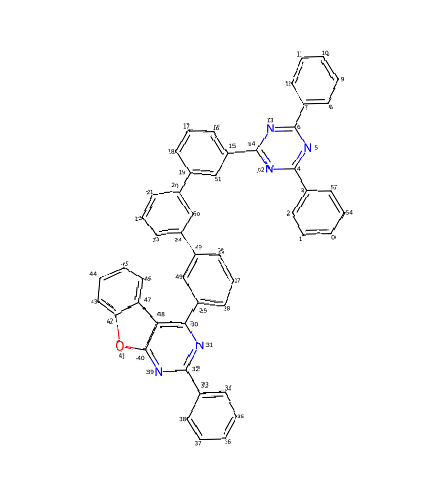 c1ccc(-c2nc(-c3ccccc3)nc(-c3cccc(-c4cccc(-c5cccc(-c6nc(-c7ccccc7)nc7oc8ccccc8c67)c5)c4)c3)n2)cc1